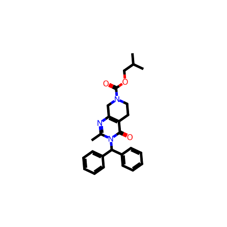 Cc1nc2c(c(=O)n1C(c1ccccc1)c1ccccc1)CCN(C(=O)OCC(C)C)C2